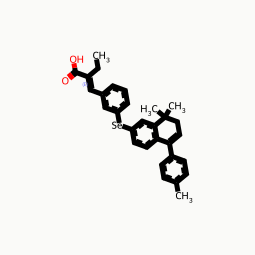 CC/C(=C\c1cccc([Se]c2ccc3c(c2)C(C)(C)CC=C3c2ccc(C)cc2)c1)C(=O)O